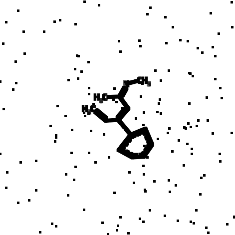 C=C/C(=C\C(C)=N/C)c1ccccc1